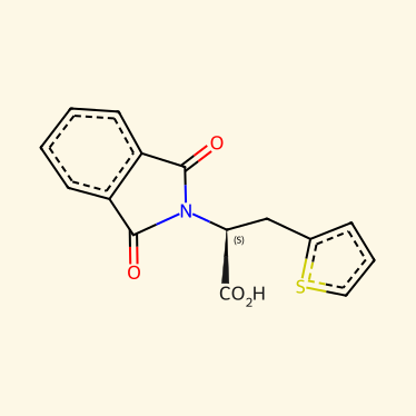 O=C(O)[C@H](Cc1cccs1)N1C(=O)c2ccccc2C1=O